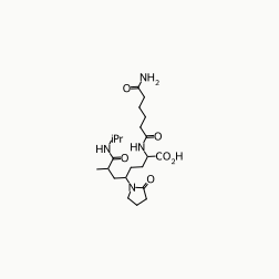 CC(C)NC(=O)C(C)CC(CCC(NC(=O)CCCCC(N)=O)C(=O)O)N1CCCC1=O